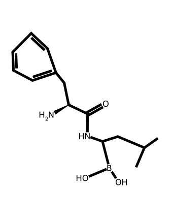 CC(C)CC(NC(=O)[C@@H](N)Cc1ccccc1)B(O)O